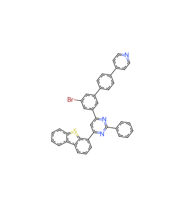 Brc1cc(-c2ccc(-c3ccncc3)cc2)cc(-c2cc(-c3cccc4c3sc3ccccc34)nc(-c3ccccc3)n2)c1